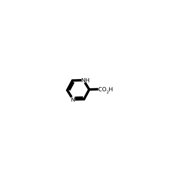 O=C(O)[C]1C=NC=CN1